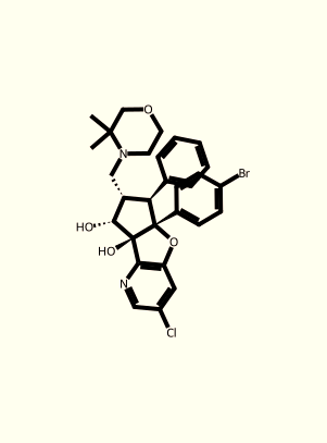 CC1(C)COCCN1C[C@H]1[C@@H](O)[C@@]2(O)c3ncc(Cl)cc3O[C@@]2(c2ccc(Br)cc2)[C@@H]1c1ccccc1